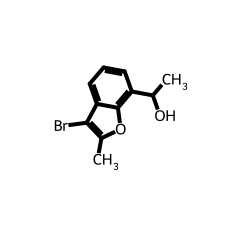 Cc1oc2c(C(C)O)cccc2c1Br